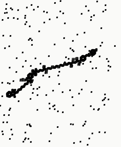 CCCC[N+]1=C(/C=C/C=C/C=C/C=C2/N(C)c3ccccc3C2(C)C)C(C)(C)c2cc(S(=O)(=O)N(C)CCCC(=O)NCCOCCOCCOCCC(=O)NCC(=O)Nc3ccc(CC[N+]45CC[N+](C)(CC4)CC5)cc3)ccc21